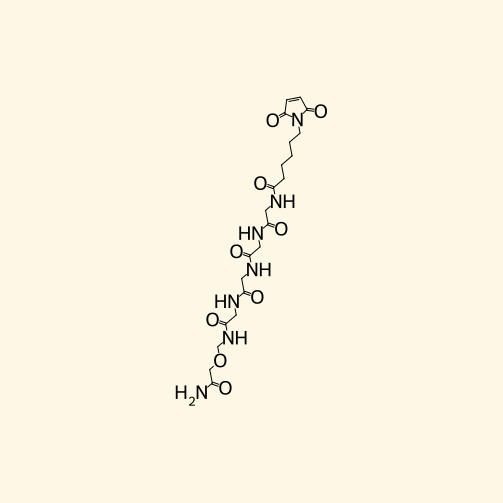 NC(=O)COCNC(=O)CNC(=O)CNC(=O)CNC(=O)CNC(=O)CCCCCN1C(=O)C=CC1=O